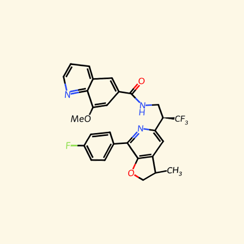 COc1cc(C(=O)NC[C@H](c2cc3c(c(-c4ccc(F)cc4)n2)OCC3C)C(F)(F)F)cc2cccnc12